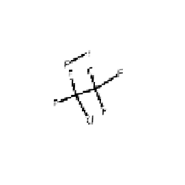 FC(F)(Cl)C(F)(F)Cl.[C]F